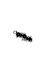 Cc1cc(Cl)cc2[nH]c(-c3ccc(NC(O)c4ccoc4)cc3)nc12